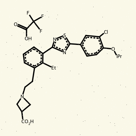 CCc1c(CCN2CC(C(=O)O)C2)cccc1-c1nsc(-c2ccc(OC(C)C)c(Cl)c2)n1.O=C(O)C(F)(F)F